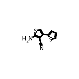 N#Cc1c(-c2cccs2)csc1N